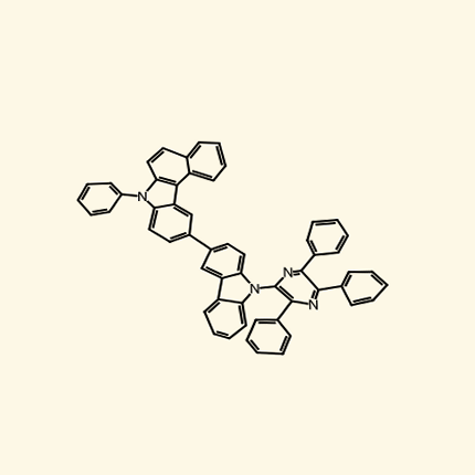 c1ccc(-c2nc(-c3ccccc3)c(-n3c4ccccc4c4cc(-c5ccc6c(c5)c5c7ccccc7ccc5n6-c5ccccc5)ccc43)nc2-c2ccccc2)cc1